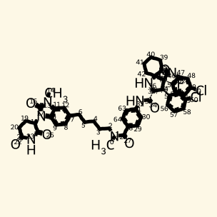 CN(CCCCCc1ccc2c(c1)n(C)c(=O)n2C1CCC(=O)NC1=O)C(=O)c1ccc(NC(=O)[C@@H]2NC3(CCCCC3)[C@@]3(C(=O)Nc4cc(Cl)ccc43)[C@H]2c2cccc(Cl)c2F)cc1